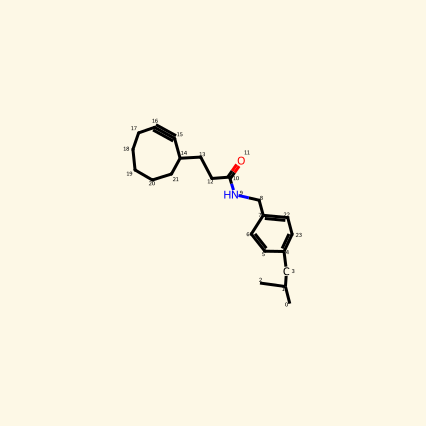 CC(C)Cc1ccc(CNC(=O)CCC2C#CCCCCC2)cc1